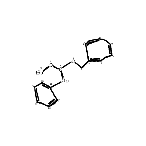 CC(C)(C)OP(OCc1ccccc1)Oc1ccccc1